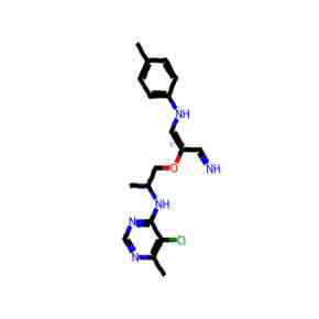 Cc1ccc(N/C=C(\C=N)OCC(C)Nc2ncnc(C)c2Cl)cc1